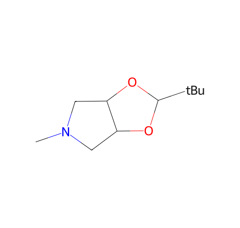 CN1CC2OC(C(C)(C)C)OC2C1